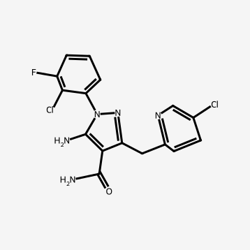 NC(=O)c1c(Cc2ccc(Cl)cn2)nn(-c2cccc(F)c2Cl)c1N